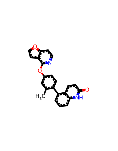 Cc1cc(Oc2nccc3occc23)ccc1-c1cccc2[nH]c(=O)ccc12